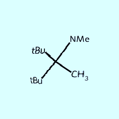 CNC(C)(C(C)(C)C)C(C)(C)C